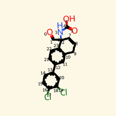 O=C[C@]1(NC(=O)O)C=CCc2cc(-c3ccc(Cl)c(Cl)c3)ccc21